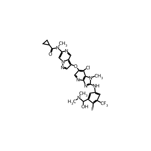 CN(C(=O)C1CC1)c1cn2ncc(Oc3cnc4nc(Nc5cc(C(O)N(C)C)c(F)c(C(F)(F)F)c5)n(C)c4c3Cl)c2cn1